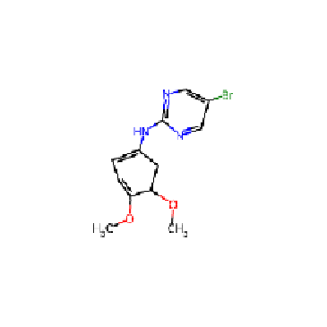 COC1=CC=C(Nc2ncc(Br)cn2)CC1OC